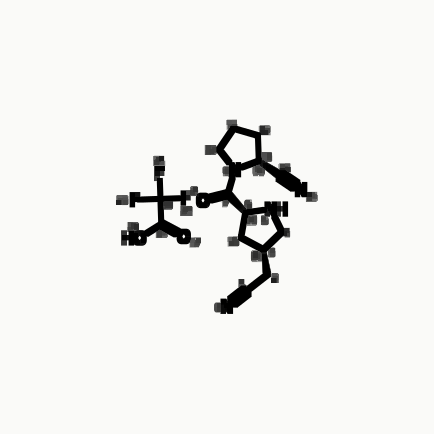 N#CC[C@@H]1CN[C@H](C(=O)N2CCC[C@H]2C#N)C1.O=C(O)C(F)(F)F